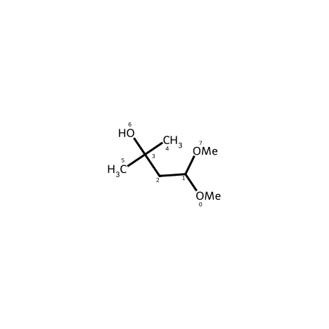 COC(CC(C)(C)O)OC